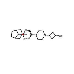 CC(=O)[C@H]1C[C@H](N2CCC(c3cnc(N4C5CCC4CN(C)C5)nc3)CC2)C1